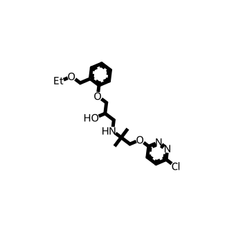 CCOCc1ccccc1OCC(O)CNC(C)(C)COc1ccc(Cl)nn1